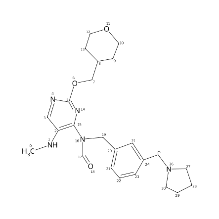 CNc1cnc(OCC2CCOCC2)nc1N(C=O)Cc1cccc(CN2CCCC2)c1